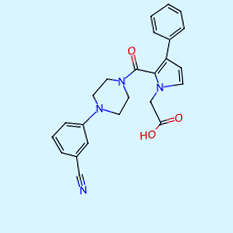 N#Cc1cccc(N2CCN(C(=O)c3c(-c4ccccc4)ccn3CC(=O)O)CC2)c1